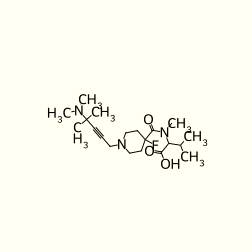 CC(C)C(C(=O)O)N(C)C(=O)C1(F)CCN(CC#CC(C)(C)N(C)C)CC1